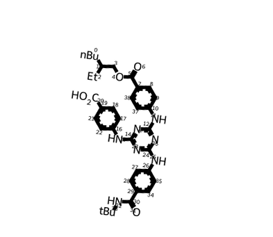 CCCCC(CC)COC(=O)c1ccc(Nc2nc(Nc3ccc(C(=O)O)cc3)nc(Nc3ccc(C(=O)NC(C)(C)C)cc3)n2)cc1